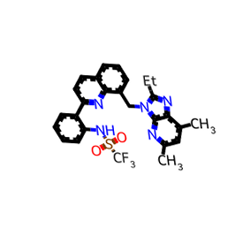 CCc1nc2c(C)cc(C)nc2n1Cc1cccc2ccc(-c3ccccc3NS(=O)(=O)C(F)(F)F)nc12